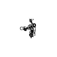 Cc1ccc(OC(=O)N2CCN(C(=O)[C@@H]3NCCC[C@@H]3CCC[N+](C)(C)C)[C@H](C(=O)NCc3cccs3)C2)c(Cl)c1C.[Cl-]